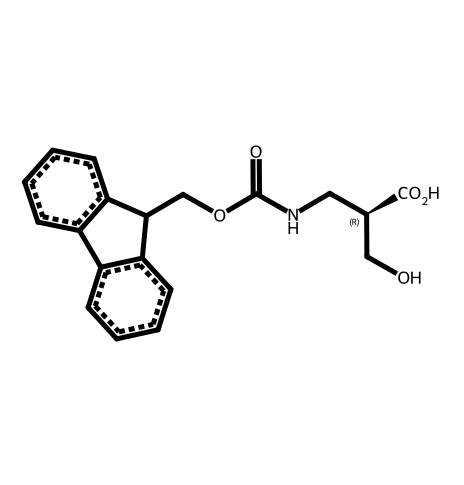 O=C(NC[C@H](CO)C(=O)O)OCC1c2ccccc2-c2ccccc21